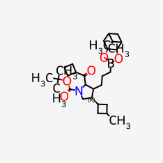 CC1CC([C@H]2CN(C(=O)OC(C)(C)C)C(C(=O)C3CCC3)C2CCCB2OC3CC4CC(C3O2)C4(C)C)C1